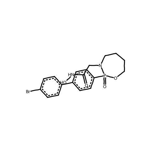 O=C(CN1CCCCOP1(=O)c1ccc(-c2ccc(Br)cc2)cc1)NO